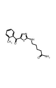 Cc1ccccc1C(=O)c1cnc(NCCCCC(N)=O)s1